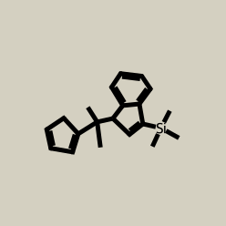 CC(C)(C1=CC=CC1)C1C=C([Si](C)(C)C)c2ccccc21